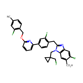 N#Cc1ccc(COc2cccc(-c3ccc(Cc4nc5cc(F)c(C(=O)O)cc5n4CC4(CF)CC4)c(F)c3)n2)c(F)c1